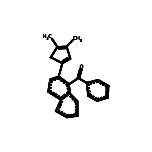 CC1=C(C)CC(c2ccc3ccccc3c2C(=O)c2ccccc2)=C1